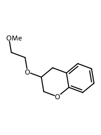 COCCOC1COc2ccccc2C1